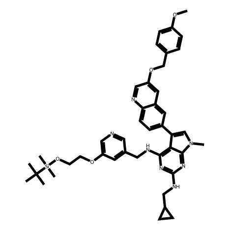 COc1ccc(COc2cnc3ccc(-c4cn(C)c5nc(NCC6CC6)nc(NCc6cncc(OCCO[Si](C)(C)C(C)(C)C)c6)c45)cc3c2)cc1